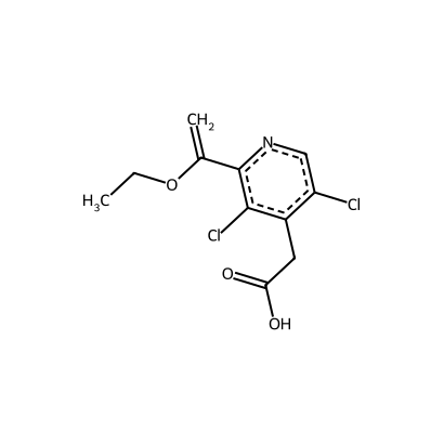 C=C(OCC)c1ncc(Cl)c(CC(=O)O)c1Cl